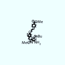 CCCCOc1nc(N)c2nc(OC)n(Cc3ccc(OCCCN4CCC(C(=O)OC)CC4)nc3)c2n1